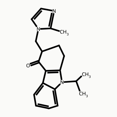 Cc1nccn1CC1CCc2c(c3ccccc3n2C(C)C)C1=O